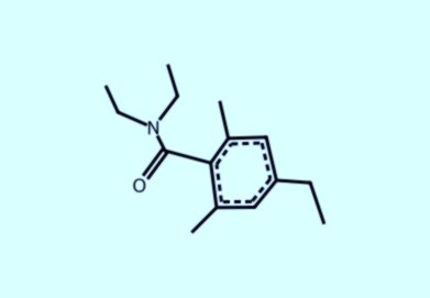 CCc1cc(C)c(C(=O)N(CC)CC)c(C)c1